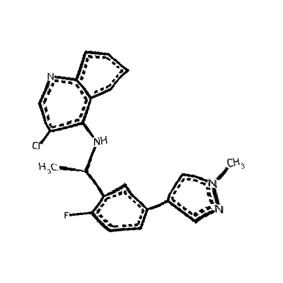 C[C@@H](Nc1c(Cl)cnc2ccccc12)c1cc(-c2cnn(C)c2)ccc1F